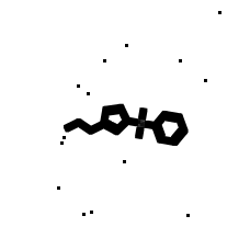 CCCC1=C[C]([Si](C)(C)c2ccccc2)C=C1